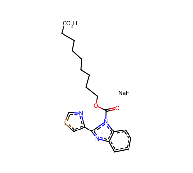 O=C(O)CCCCCCCCOC(=O)n1c(-c2cscn2)nc2ccccc21.[NaH]